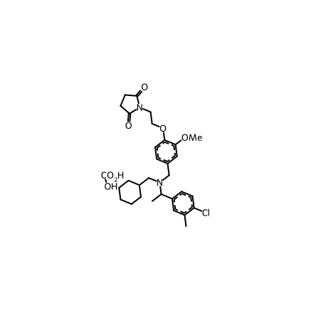 COc1cc(CN(CC2CCCCC2)C(C)c2ccc(Cl)c(C)c2)ccc1OCCN1C(=O)CCC1=O.O=C(O)O